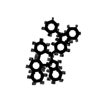 c1ccc(-n2c3ccccc3c3ccc(N4c5ccccc5-c5ccc6ccccc6c5-n5c4cc4ccccc45)cc32)cc1